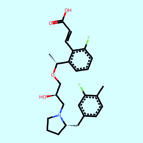 Cc1ccc(C[C@@H]2CCCN2C[C@@H](O)CO[C@H](C)c2cccc(F)c2/C=C/C(=O)O)cc1F